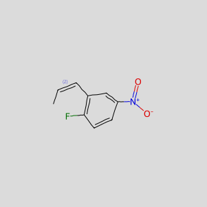 C/C=C\c1cc([N+](=O)[O-])ccc1F